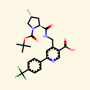 CC(C)(C)OC(=O)N1C[C@H](F)C[C@H]1C(=O)NCc1cc(-c2ccc(C(F)(F)F)cc2)ncc1C(=O)O